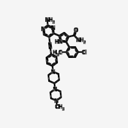 Cc1ccc(Cl)cc1-c1[nH]c(-c2nc(N)ncc2C#Cc2ccc(N3CCC(N4CCN(C)CC4)CC3)cc2)cc1C(N)=O